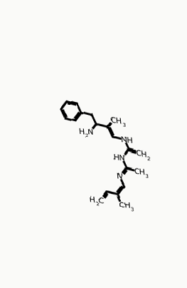 C=C/C(C)=C\N=C(/C)NC(=C)N/C=C(\C)C(N)Cc1ccccc1